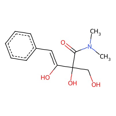 CN(C)C(=O)C(O)(CO)C(O)=Cc1ccccc1